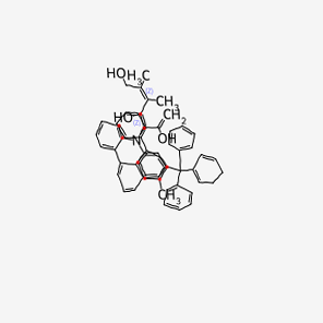 C=C(O)/C(=C(O)\C(C)=C(\C)CO)N(c1ccc(C)c(C(C2=CCCC=C2)(c2ccccc2)c2ccccc2)c1)c1ccccc1-c1cccc2cccc(-c3ccccc3)c12